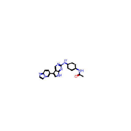 CC(=O)NC1CCC(Nc2ncc3c(-c4ccc5nccn5c4)c[nH]c3n2)CC1